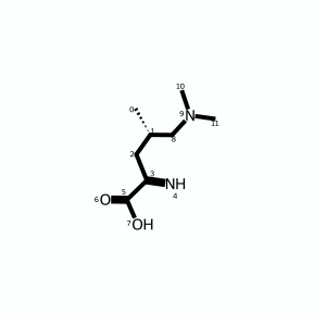 C[C@@H](CC(=N)C(=O)O)CN(C)C